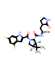 CC1(C)[C@@H]2[C@@H](C(=O)N[C@H](C#N)CC3CCNC3=O)N(C(=O)c3cc4c(F)cc(F)cc4[nH]3)C[C@@H]21